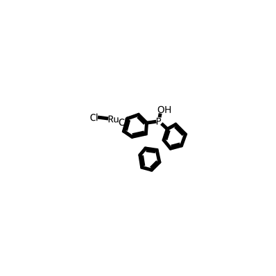 OP(c1ccccc1)c1ccccc1.[Cl][Ru][Cl].c1ccccc1